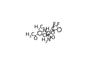 C=CN(c1cc(O[C@H](C)c2ccccc2C(F)(F)F)c(C(N)=O)s1)c1ccc(C(C)=O)cc1C